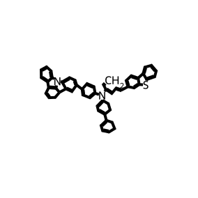 C=C/C(=C\C=C\c1ccc2c(c1)sc1ccccc12)N(C1=CC=C(C2=CC=CCC2)CC1)c1ccc(-c2ccc3c(c2)C2CC=Cc4c2n-3c2ccccc42)cc1